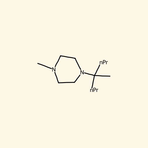 CCCC(C)(CCC)N1CCN(C)CC1